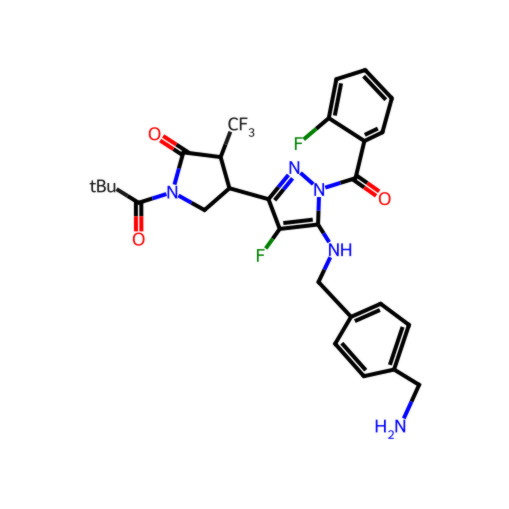 CC(C)(C)C(=O)N1CC(c2nn(C(=O)c3ccccc3F)c(NCc3ccc(CN)cc3)c2F)C(C(F)(F)F)C1=O